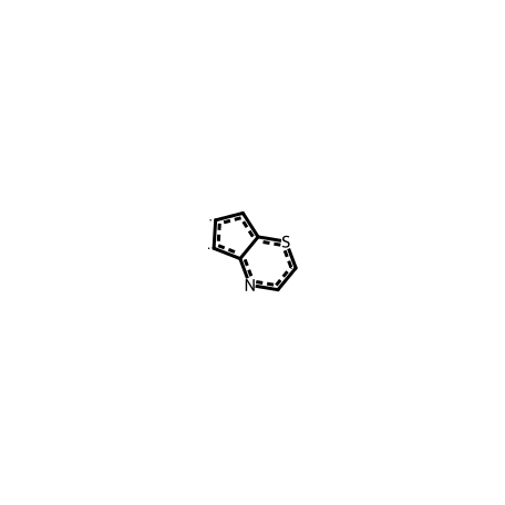 [c]1[c]c2nccsc-2c1